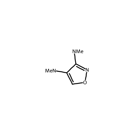 CNc1conc1NC